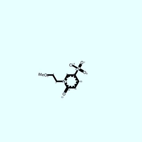 COCCn1cc(S(=O)(=O)Cl)ccc1=O